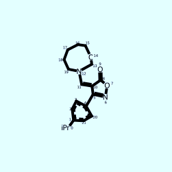 CC(C)c1ccc(C2=NOC(=O)/C2=C\N2CCCCCCC2)cc1